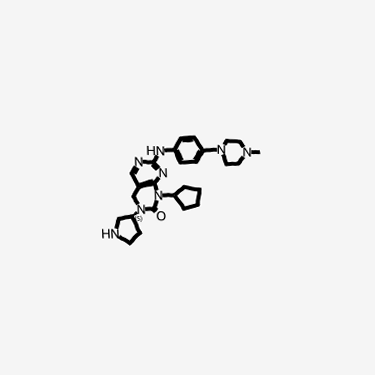 CN1CCN(c2ccc(Nc3ncc4c(n3)N(C3CCCC3)C(=O)N([C@H]3CCNC3)C4)cc2)CC1